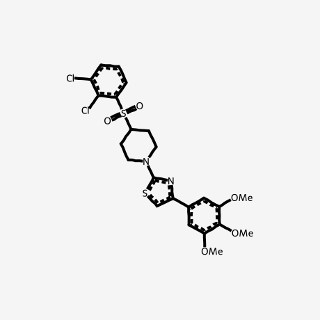 COc1cc(-c2csc(N3CCC(S(=O)(=O)c4cccc(Cl)c4Cl)CC3)n2)cc(OC)c1OC